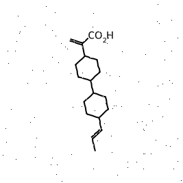 C=C(C(=O)O)C1CCC(C2CCC(/C=C/C)CC2)CC1